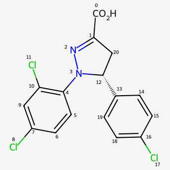 O=C(O)C1=NN(c2ccc(Cl)cc2Cl)[C@@H](c2ccc(Cl)cc2)C1